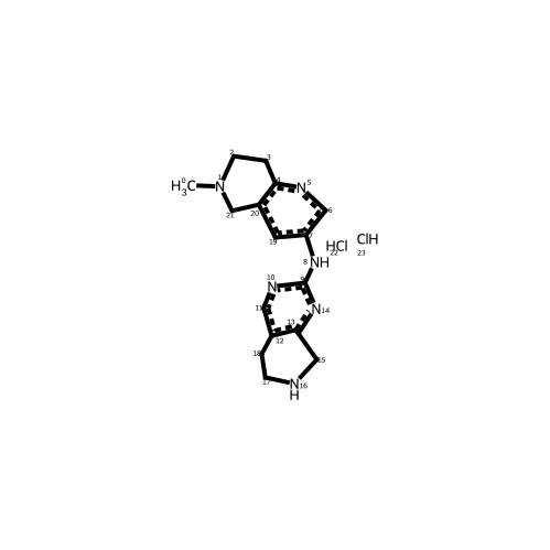 CN1CCc2ncc(Nc3ncc4c(n3)CNCC4)cc2C1.Cl.Cl